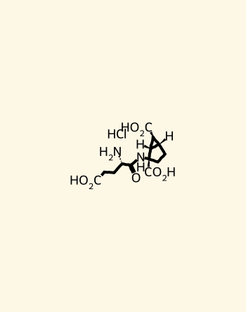 Cl.N[C@@H](CCC(=O)O)C(=O)N[C@@]1(C(=O)O)CC[C@H]2[C@H](C(=O)O)[C@H]21